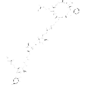 N=C(N)NCCCC1NC(=O)C(CCCCNC(=O)CCN2C(=O)CC(SC[C@H](NC(=O)CCCCCNC(=O)[C@H](Cc3ccc(O)cc3)NC(=O)CCCC(=O)NN)C(N)=O)C2=O)NC(=O)[C@@H](Cc2ccccc2)NC(=O)[C@@H](CC(=O)O)NC(=O)CNC1=O